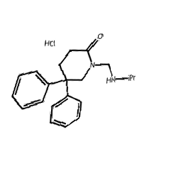 CC(C)NCN1CC(c2ccccc2)(c2ccccc2)CCC1=O.Cl